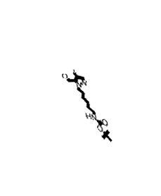 CC(C)(C)OC(=O)NCCCCCCn1ncc(I)c1C=O